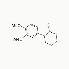 COc1ccc(C2CCCCC2=O)cc1OC